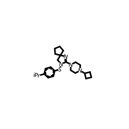 CC(C)c1ccc(SN2CC3(CCCC3)N=C2N2CCN(C3CCC3)CC2)cc1